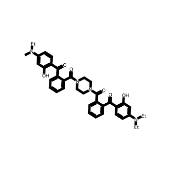 CCN(C)c1ccc(C(=O)c2ccccc2C(=O)N2CCN(C(=O)c3ccccc3C(=O)c3ccc(N(CC)CC)cc3O)CC2)c(O)c1